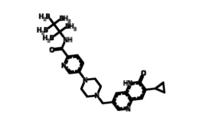 BC(B)(B)C(B)(B)NC(=O)c1ccc(N2CCN(Cc3cnc4cc(C5CC5)c(=O)[nH]c4c3)CC2)cn1